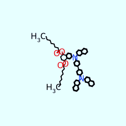 CCCCCCCCC(=O)OC1CCC(OC(=O)CCCCCCCC)c2cc(N(c3ccc(-c4ccc(N(c5ccc6ccccc6c5)c5ccc6ccccc6c5)cc4)cc3)c3ccc4ccccc4c3)ccc21